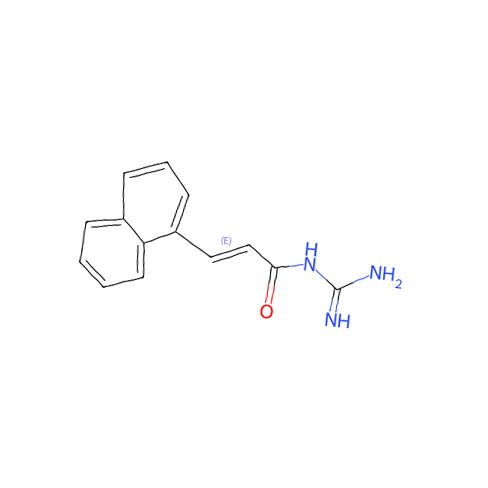 N=C(N)NC(=O)/C=C/c1cccc2ccccc12